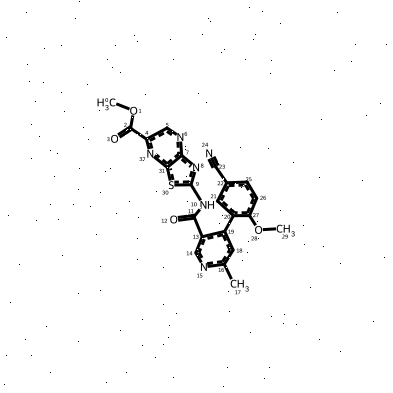 COC(=O)c1cnc2nc(NC(=O)c3cnc(C)cc3-c3cc(C#N)ccc3OC)sc2n1